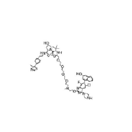 Cc1ncsc1-c1ccc(CCNC(=O)C2CC(O)CN2C(=O)[C@@H](NC(=O)COCCOCCOCCOCCN(C)CCOc2nc(N3CCNCC3)c3cc(Cl)c(-c4cc(O)cc5ccccc45)c(F)c3n2)C(C)(C)C)cc1